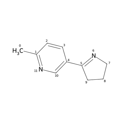 Cc1ccc(C2=NCCC2)cn1